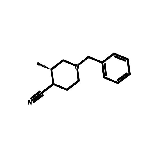 C[C@@H]1CN(Cc2ccccc2)CCC1C#N